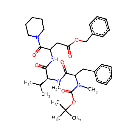 CC(C)[C@@H](C(=O)NC(CC(=O)OCc1ccccc1)C(=O)N1CCCCC1)N(C)C(=O)C(Cc1ccccc1)N(C)C(=O)OC(C)(C)C